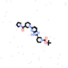 CC(C)(C)OC(=O)N1CCC[C@@H](c2nc3ccc(N4CCCC(C(=O)N5CCCC5)C4)nc3[nH]2)C1